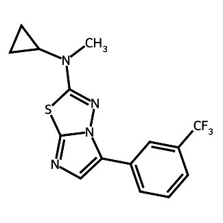 CN(c1nn2c(-c3cccc(C(F)(F)F)c3)cnc2s1)C1CC1